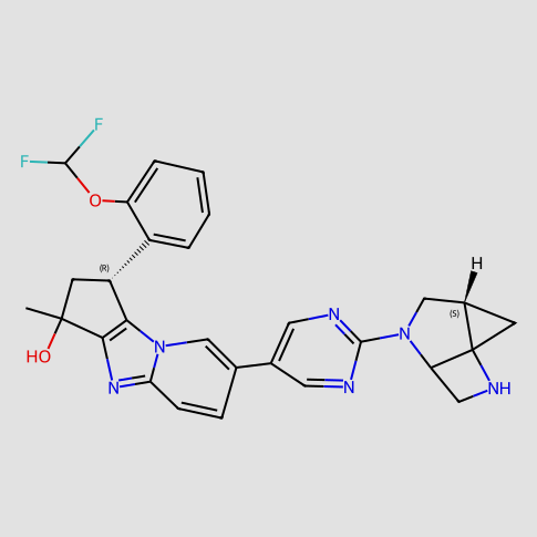 CC1(O)C[C@H](c2ccccc2OC(F)F)c2c1nc1ccc(-c3cnc(N4C[C@@H]5CC56NCC46)nc3)cn21